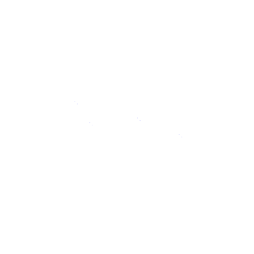 CC1=c2c(c(=O)[nH]c(=O)n2C2CC2)=CC(F)C1N1CC(CN)C(OC(F)(F)F)C1